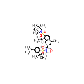 CC(C)c1ccc(S(=O)(=O)N2CCOCC2(C)CCC(C)c2ccc(S(=O)(=O)N(C)CC(C)(C)C)c(C(C)(C)C)c2)c(C(C)(C)C)c1